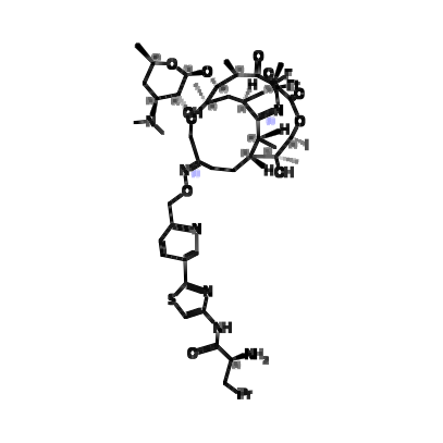 CCC(=O)/N=C1\[C@H](C)C[C@@]2(C)OC/C(=N/OCc3ccc(-c4nc(NC(=O)[C@@H](N)CC(C)C)cs4)cn3)CC[C@H]([C@H]1C)[C@](C)(O)[C@@H](I)OC(=O)[C@@](C)(F)C(=O)[C@H](C)[C@H]2O[C@@H]1O[C@H](C)C[C@H](N(C)C)[C@H]1O